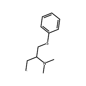 [CH2]CC(CSc1ccccc1)N(C)C